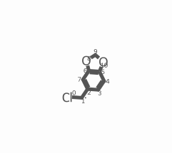 Cl[CH]c1ccc2c(c1)OCO2